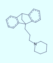 c1ccc2c(c1)C1CC2(CCCN2CCCCC2)c2ccccc21